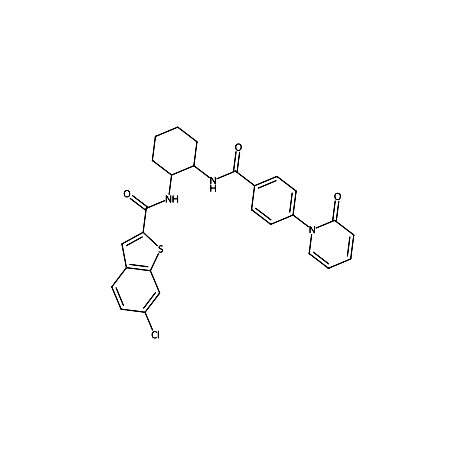 O=C(NC1CCCCC1NC(=O)c1cc2ccc(Cl)cc2s1)c1ccc(-n2ccccc2=O)cc1